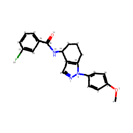 COc1ccc(-n2ncc3c2CCCC3NC(=O)c2cccc(F)c2)cc1